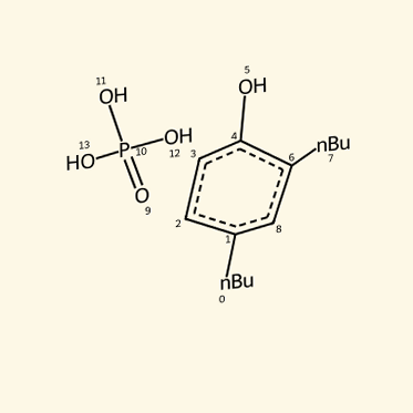 CCCCc1ccc(O)c(CCCC)c1.O=P(O)(O)O